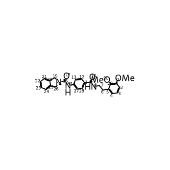 COc1cccc(CCNC(=O)c2ccc(NC(=O)N3Cc4ccccc4C3)cc2)c1OC